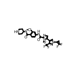 CN(C(=O)c1ccc(NC(=O)c2ncc(-c3cn(C4CC4(F)F)nc3C(F)(F)F)n2C)cc1Cl)C1CCNCC1